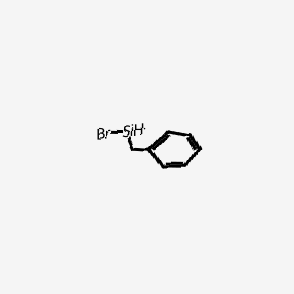 Br[SiH]Cc1ccccc1